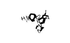 NC1CCC(Oc2nc(N3CCOCC3)cc3ncc(I)cc23)CC1